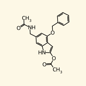 CC(=O)NCc1cc(OCc2ccccc2)c2cc(OC(C)=O)[nH]c2c1